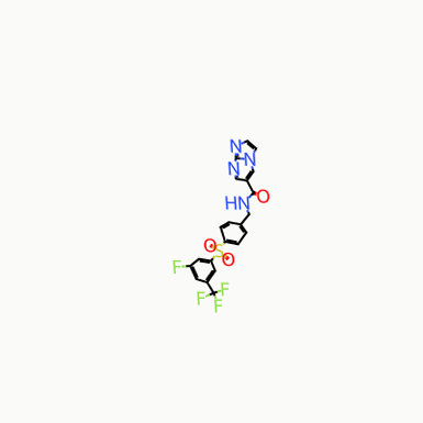 O=C(NCc1ccc(S(=O)(=O)c2cc(F)cc(C(F)(F)F)c2)cc1)c1cnc2nccn2c1